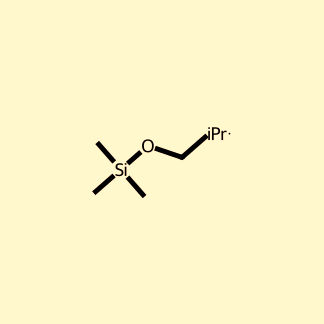 C[C](C)CO[Si](C)(C)C